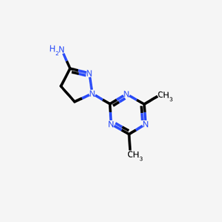 Cc1nc(C)nc(N2CCC(N)=N2)n1